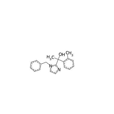 Cc1ccccc1C(C)(O)c1nccn1Cc1ccccc1